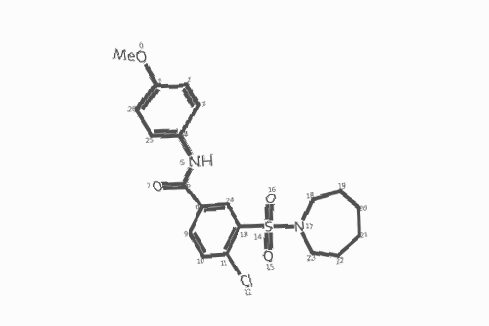 COc1ccc(NC(=O)c2ccc(Cl)c(S(=O)(=O)N3CCCCCC3)c2)cc1